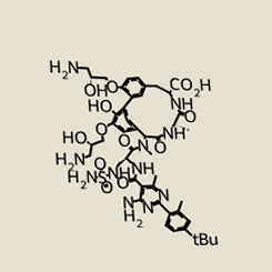 Cc1cc(C(C)(C)C)ccc1-c1nc(C)c(C(=O)N[C@@H](CNS(N)(=O)=O)C(=O)N(C)[C@@H]2C(=O)N[C@@H](C)C(=O)N[C@H](C(=O)O)Cc3ccc(OC[C@H](O)CN)c(c3)-c3cc2cc(OC[C@H](O)CN)c3O)c(N)n1